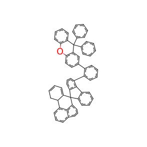 C1=CCC2C(=C1)C1(c3ccccc3-c3c(-c4ccccc4-c4ccc5c(c4)C(c4ccccc4)(c4ccccc4)c4ccccc4O5)cccc31)c1cccc3cccc2c13